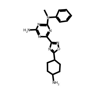 CN(c1ccccc1)c1nc(N)nc(-c2noc(C3CCC(N)CC3)n2)n1